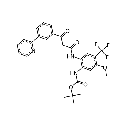 COc1cc(NC(=O)OC(C)(C)C)c(NC(=O)CC(=O)c2cccc(-c3ccccn3)c2)cc1C(F)(F)F